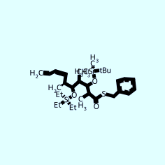 C=C/C=C\[C@H](C)C(O[Si](CC)(CC)CC)C(C)C(O[Si](C)(C)C(C)(C)C)C(C)C(=O)SCc1ccccc1